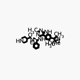 COc1cc2c(cc1-c1c(C)noc1C)[nH]c1nc(C)nc(N[C@H](CN(C)C(=O)C3CCNCC3)c3ccccc3)c12